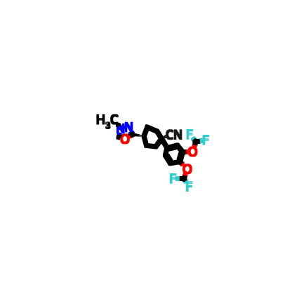 CN1COC([C@H]2CC[C@](C#N)(c3ccc(OC(F)F)c(OC(F)F)c3)CC2)=N1